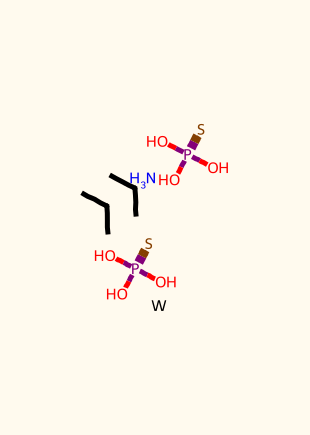 CCC.CCC.N.OP(O)(O)=S.OP(O)(O)=S.[W]